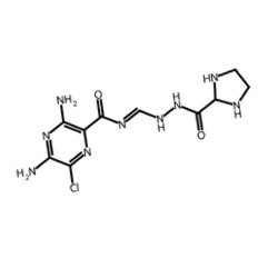 Nc1nc(N)c(C(=O)N=CNNC(=O)C2NCCN2)nc1Cl